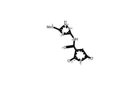 CSc1nc(NC(=O)c2cc(Cl)sc2Cl)n[nH]1